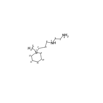 C[Si]1(CCCNCCN)CCCCC1